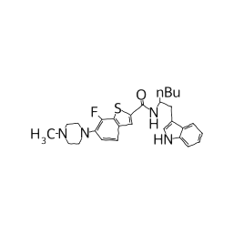 CCCCC(Cc1c[nH]c2ccccc12)NC(=O)c1cc2ccc(N3CCN(C)CC3)c(F)c2s1